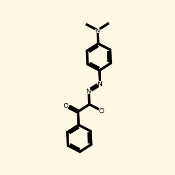 CN(C)c1ccc(N=NC(Cl)C(=O)c2ccccc2)cc1